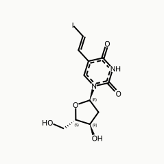 O=c1[nH]c(=O)n([C@H]2C[C@@H](O)[C@H](CO)O2)cc1C=CI